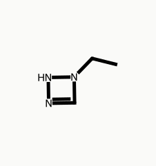 CCn1cn[nH]1